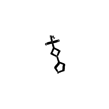 NS(=O)(=O)C1CN(c2ccsc2)C1